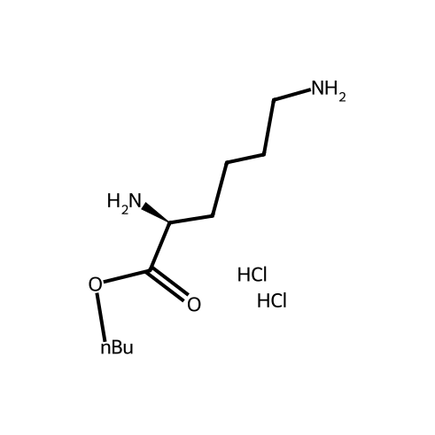 CCCCOC(=O)[C@@H](N)CCCCN.Cl.Cl